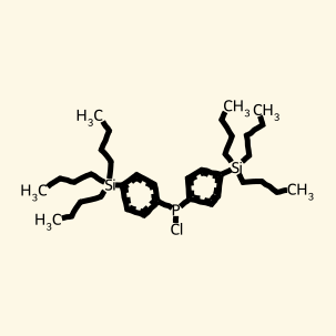 CCCC[Si](CCCC)(CCCC)c1ccc(P(Cl)c2ccc([Si](CCCC)(CCCC)CCCC)cc2)cc1